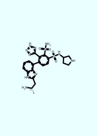 C[C@H](N)Cc1nc2c(-c3ccc(S(=O)(=O)NC4CCNC4)c(S(N)(=O)=O)c3-c3nn[nH]n3)cccc2[nH]1